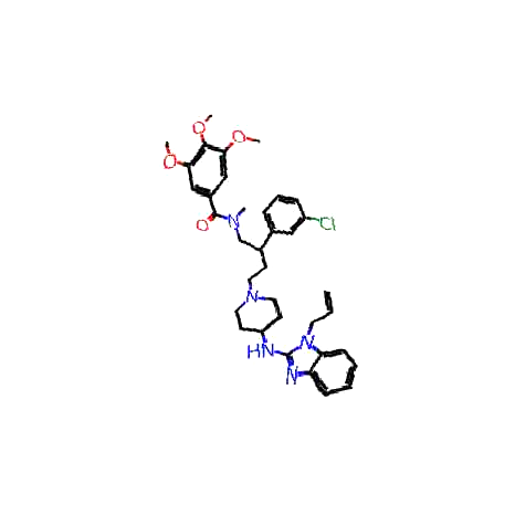 C=CCn1c(NC2CCN(CCC(CN(C)C(=O)c3cc(OC)c(OC)c(OC)c3)c3cccc(Cl)c3)CC2)nc2ccccc21